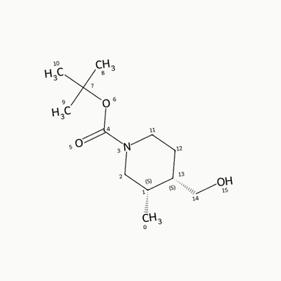 C[C@@H]1CN(C(=O)OC(C)(C)C)CC[C@@H]1CO